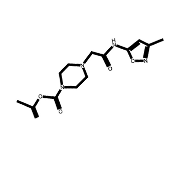 C=C(C)OC(=O)N1CCN(CC(=O)Nc2cc(C)no2)CC1